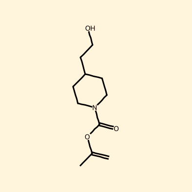 C=C(C)OC(=O)N1CCC(CCO)CC1